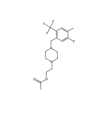 CC(=O)OCCN1CCN(Cc2cc(F)c(C)cc2C(F)(F)F)CC1